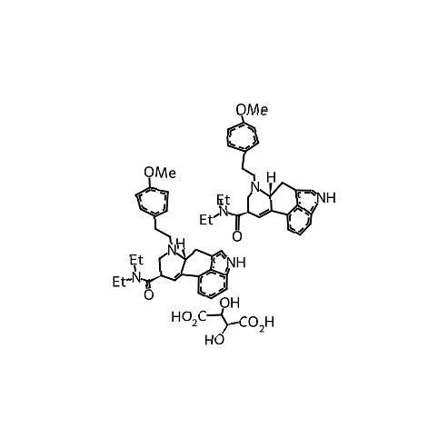 CCN(CC)C(=O)[C@@H]1C=C2c3cccc4[nH]cc(c34)C[C@H]2N(CCc2ccc(OC)cc2)C1.CCN(CC)C(=O)[C@@H]1C=C2c3cccc4[nH]cc(c34)C[C@H]2N(CCc2ccc(OC)cc2)C1.O=C(O)C(O)C(O)C(=O)O